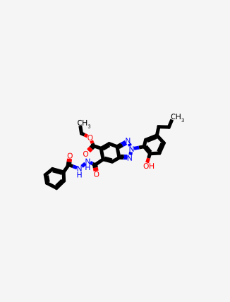 CCCc1ccc(O)c(-n2nc3cc(C(=O)NNC(=O)c4ccccc4)c(C(=O)OCC)cc3n2)c1